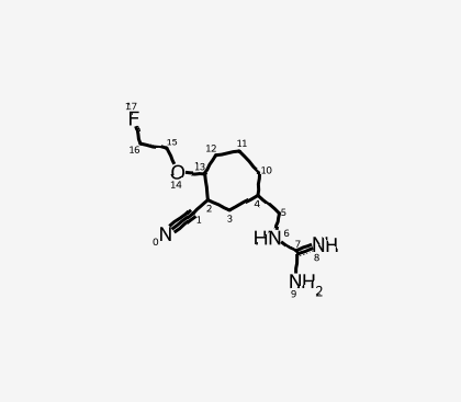 N#CC1CC(CNC(=N)N)CCCC1OCCF